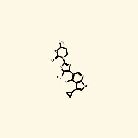 C=C1NC(C)CCN1c1nc(-c2cnc3[nH]cc(C4CC4)c3c2Cl)c(C)s1